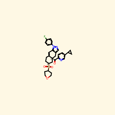 O=C(c1ccc(C2CC2)cn1)[C@]12Cc3cnn(-c4ccc(F)cc4)c3C=C1CC[C@H](S(=O)(=O)C1CCOCC1)C2